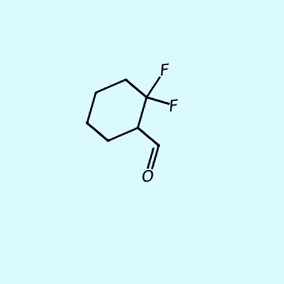 O=CC1CCCCC1(F)F